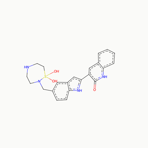 O=c1[nH]c2ccccc2cc1-c1cc2cc(CN3CCNCCS3(O)O)ccc2[nH]1